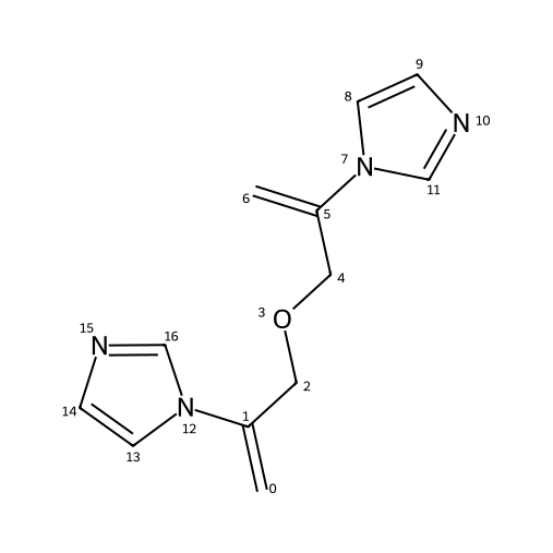 C=C(COCC(=C)n1ccnc1)n1ccnc1